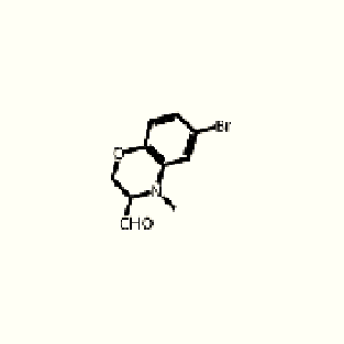 CN1c2cc(Br)ccc2OCC1C=O